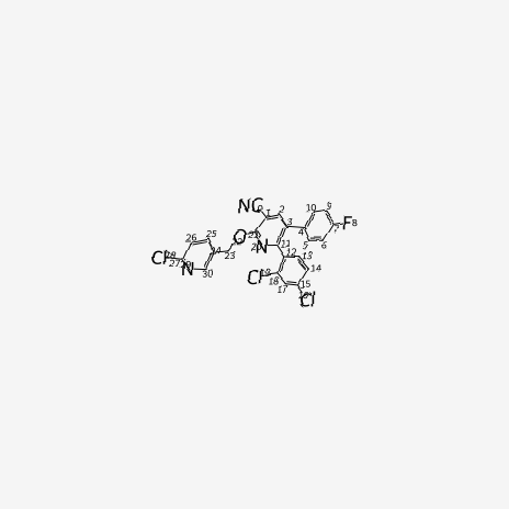 N#Cc1cc(-c2ccc(F)cc2)c(-c2ccc(Cl)cc2Cl)nc1OCc1ccc(Cl)nc1